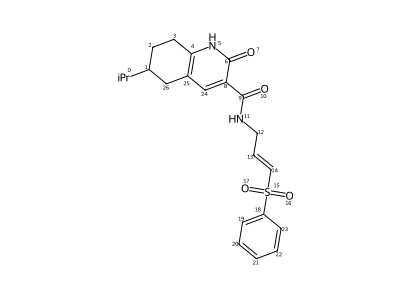 CC(C)C1CCc2[nH]c(=O)c(C(=O)NC/C=C/S(=O)(=O)c3ccccc3)cc2C1